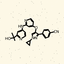 CC(C)(O)c1cc(Nc2cc(Oc3cn(C4CC4)nc3-c3ccc(C#N)cc3)ccn2)ccn1